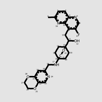 Cc1ccc2ncc(F)c(CC(O)C34CCC(NCc5cc6c(cn5)OCCO6)(CC3)CO4)c2n1